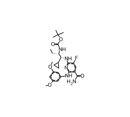 CC[C@H](NC(=O)OC(C)(C)C)[C@H](Nc1nc(Nc2cc(OC)cc(OC)c2)c(C(N)=O)cc1F)C1CC1